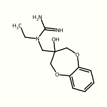 CCN(CC1(O)COc2ccccc2OC1)C(=N)N